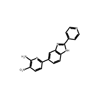 Nc1nc(-c2ccc3[nH]c(-c4ccncc4)nc3c2)ccc1[N+](=O)[O-]